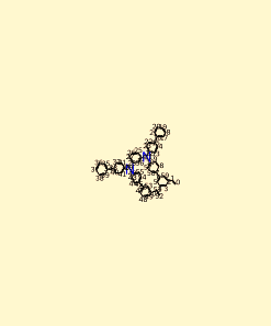 C=Cc1cccc(-c2ccc(N(c3ccc(-c4ccccc4)cc3)c3cccc(N(c4ccc(-c5ccccc5)cc4)c4ccc(-c5cccc(C=C)c5)cc4)c3)cc2)c1